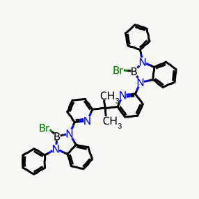 CC(C)(c1cccc(N2B(Br)N(c3ccccc3)c3ccccc32)n1)c1cccc(N2B(Br)N(c3ccccc3)c3ccccc32)n1